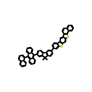 CC1(C)c2ccc(-c3ccc4c(c3)sc3cc5sc6c7ccccc7ccc6c5cc34)cc2-c2ccc(-c3c4ccccc4c(-c4cccc5ccccc45)c4ccccc34)cc21